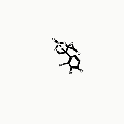 O=C1OC12OP1(=O)OCC2(c2ccc(Br)c(Br)c2Br)CO1